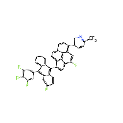 Fc1ccc2c(-c3ccc4c(F)cc5c(-c6ccc(C(F)(F)F)nc6)ccc6ccc3c4c65)c3ccccc3c(-c3cc(F)c(F)c(F)c3)c2c1